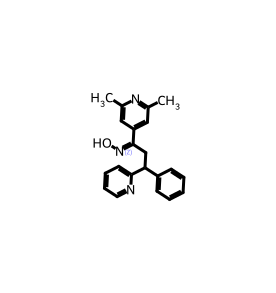 Cc1cc(/C(CC(c2ccccc2)c2ccccn2)=N\O)cc(C)n1